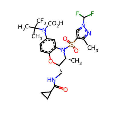 Cc1nn(C(F)F)cc1S(=O)(=O)N1c2cc(N(C(=O)O)C(C)(C)C(F)(F)F)ccc2O[C@@H](CNC(=O)C2CC2)[C@H]1C